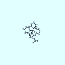 C1=CB1c1cnn(C(c2ccccc2)(c2ccccc2)c2ccccc2)c1